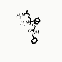 C=C(N)SCCC(C)(N)C1=C2CC(C=C1)C2OCC(=O)NCc1ccccc1